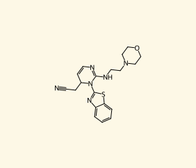 N#CCC1C=CN=C(NCCN2CCOCC2)N1c1nc2ccccc2s1